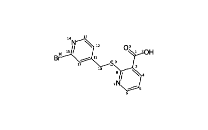 O=C(O)c1cccnc1SCc1ccnc(Br)c1